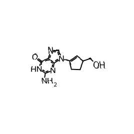 Nc1nc2c(ncn2C2=CC(CO)CC2)c(=O)[nH]1